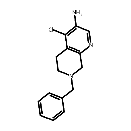 Nc1cnc2c(c1Cl)CCN(Cc1ccccc1)C2